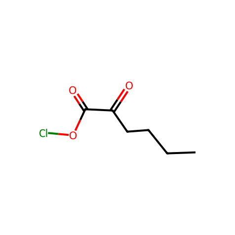 CCCCC(=O)C(=O)OCl